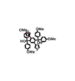 COc1ccc(C(O)(c2ccc(OC)cc2)c2cc(-c3ccsc3)c(C(O)(c3ccc(OC)cc3)c3ccc(OC)cc3)cc2-c2ccsc2)cc1